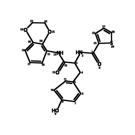 O=C(NC(Cc1ccc(O)cc1)C(=O)Nc1cccc2c1OCCO2)c1cccs1